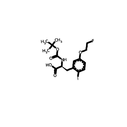 CC(C)(C)OC(=O)N[C@@H](Cc1cc(OCCF)ccc1I)C(=O)O